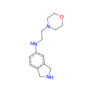 c1cc2c(cc1NCCN1CCOCC1)CNC2